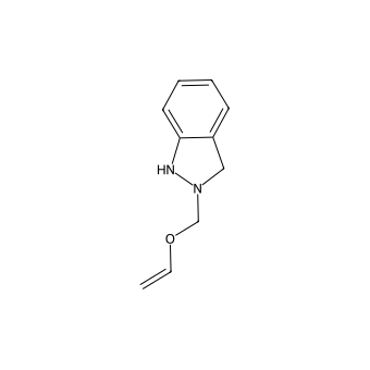 C=COCN1Cc2ccccc2N1